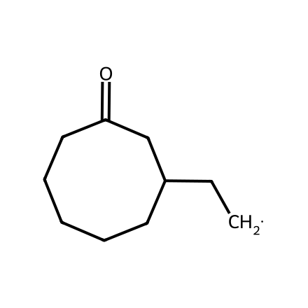 [CH2]CC1CCCCCC(=O)C1